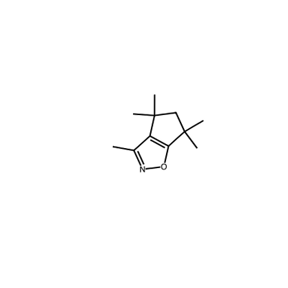 Cc1noc2c1C(C)(C)CC2(C)C